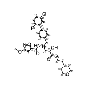 COc1cc(C(=O)NN(Cc2ccc(-c3cc(Cl)ccc3F)cc2)CC(O)C(=O)OCCN2CCOCC2)on1